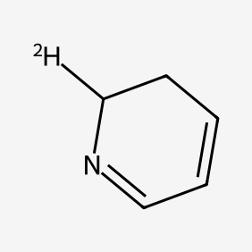 [2H]C1CC=CC=N1